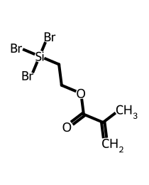 C=C(C)C(=O)OCC[Si](Br)(Br)Br